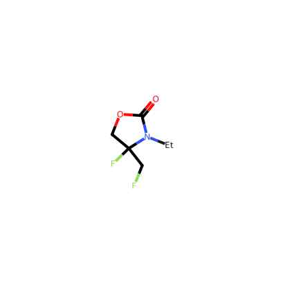 CCN1C(=O)OCC1(F)CF